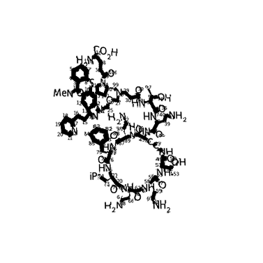 CNC(=O)c1ccccc1Sc1ccc2c(/C=C/c3ccccn3)nn(COCN(CCC(=O)N[C@H](C(=O)N[C@@H](CCN)C(=O)N[C@H]3CCNC(=O)[C@H]([C@@H](C)O)NC(=O)[C@H](CCN)NC(=O)[C@H](CCN)NC(=O)[C@H](CC(C)C)NC(=O)[C@@H](Cc4ccccc4)NC(=O)[C@H](CCN)NC3=O)[C@@H](C)O)C[C@@H]3CCCN3C(=O)CC[C@H](N)C(=O)O)c2c1